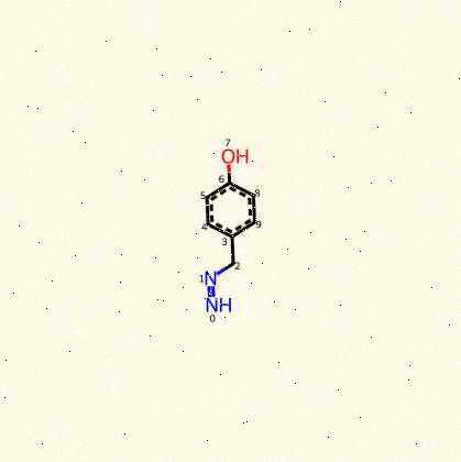 N=NCc1ccc(O)cc1